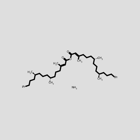 C/C(=C\C(=O)OC(=O)/C=C(\C)CCC[C@H](C)CCC[C@H](C)CCCC(C)C)CCC[C@H](C)CCC[C@H](C)CCCC(C)C.N